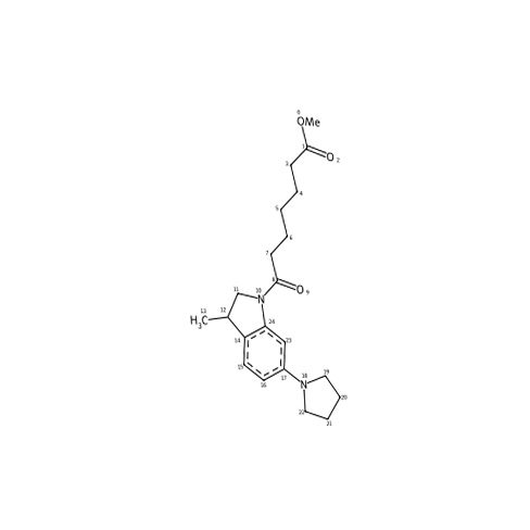 COC(=O)CCCCCC(=O)N1CC(C)c2ccc(N3CCCC3)cc21